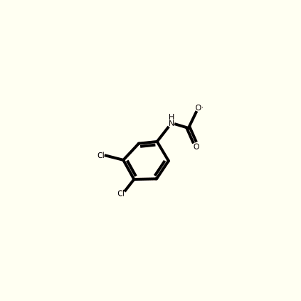 [O]C(=O)Nc1ccc(Cl)c(Cl)c1